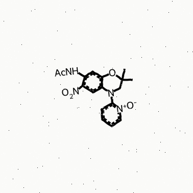 CC(=O)Nc1cc2c(cc1[N+](=O)[O-])N(c1cccc[n+]1[O-])CC(C)(C)O2